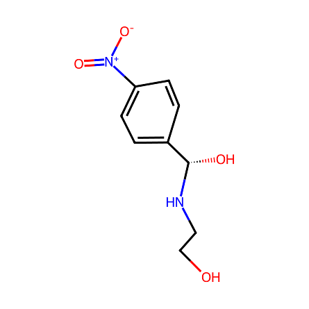 O=[N+]([O-])c1ccc([C@H](O)NCCO)cc1